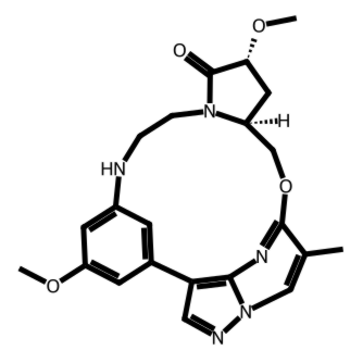 COc1cc2cc(c1)-c1cnn3cc(C)c(nc13)OC[C@@H]1C[C@@H](OC)C(=O)N1CCN2